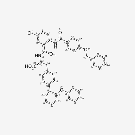 O=C(Nc1ccc(Cl)cc1C(=O)N[C@@H](Cc1ccc(-c2ccccc2Oc2ccccc2)cc1)C(=O)O)c1ccc(OCc2ccncc2)cc1